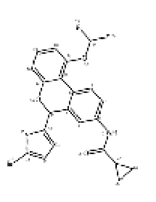 O=C(Nc1ccc2c(c1)C(c1ccc(Br)s1)Oc1cccc(OC(F)F)c1-2)C1CC1